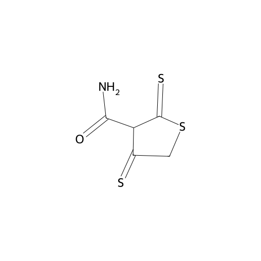 NC(=O)C1C(=S)CSC1=S